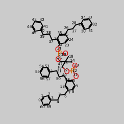 c1ccc(CCCc2ccc(OP3OCC4(CO3)COP(Oc3ccc(CCCc5ccccc5)cc3CCCc3ccccc3)OC4)c(CCCc3ccccc3)c2)cc1